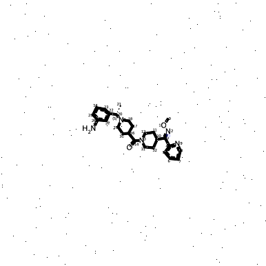 CO/N=C(/c1ccccn1)C1CCN(C(=O)C2CCN([C@@H](C)c3cccc(N)c3)CC2)CC1